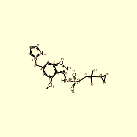 COc1cc(Cn2cccn2)cc2onc(NS(=O)(=O)CCC(C)(C)C3CC3)c12